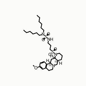 CCCCCCN(CCCCCC)S(=O)(=O)NCCCS(=O)(=O)N1CCC[C@H]2CN3CCc4cc(OC)ccc4[C@@H]3C[C@H]21